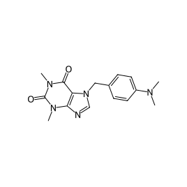 CN(C)c1ccc(Cn2cnc3c2c(=O)n(C)c(=O)n3C)cc1